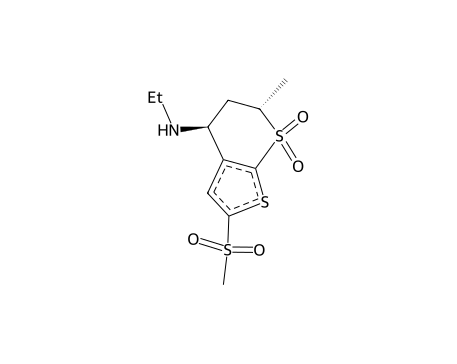 CCN[C@H]1C[C@H](C)S(=O)(=O)c2sc(S(C)(=O)=O)cc21